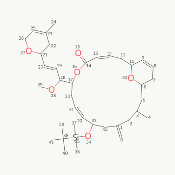 C=C1CC(C)CC2CC=CC(CC=CC(=O)OC(C(C=CC3CC(C)=CCO3)OC)CC=CC(O[Si](C)(C)C(C)(C)C)C1)O2